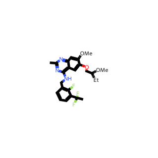 CCC(COc1cc2c(NCc3cccc(C(C)(F)F)c3F)nc(C)nc2cc1OC)OC